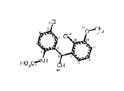 O=C(O)Nc1ccc(Cl)cc1C(O)c1cccc(OC(F)(F)F)c1Cl